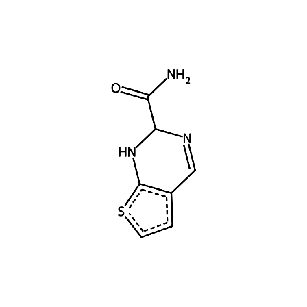 NC(=O)C1N=Cc2ccsc2N1